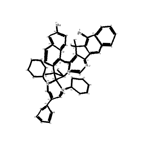 CC(C)c1c2c(cc3ccccc13)-c1nc[n+]3c(c1C2(C)C)-c1c(ccc2cc(C(C)(C)C)ccc12)C1(C)C2(N(C4CCCCC4)C=C(c4ccccc4)C=[N+]2C2CCCCC2)C31C